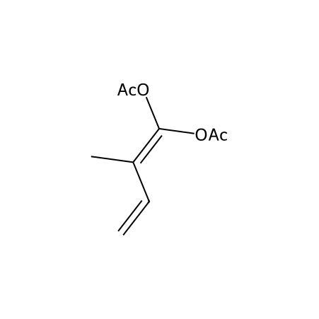 C=CC(C)=C(OC(C)=O)OC(C)=O